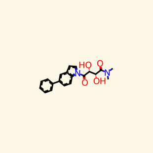 CN(C)C(=O)[C@H](O)[C@@H](O)C(=O)n1ccc2cc(-c3ccccc3)ccc21